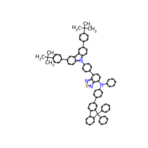 CC(C)(C)c1ccc(-c2ccc3c(c2)c2cc(-c4ccc(C(C)(C)C)cc4)ccc2n3-c2ccc(-c3ccc(N(c4ccccc4)c4ccc(-c5ccc6c(c5)C(c5ccccc5)(c5ccccc5)c5ccccc5-6)cc4)c4nsnc34)cc2)cc1